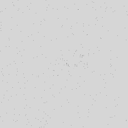 COc1ccc(Cn2cc(C(=O)N(C)OC)c(N)n2)cc1